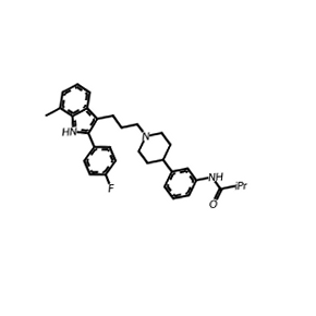 Cc1cccc2c(CCCN3CCC(c4cccc(NC(=O)C(C)C)c4)CC3)c(-c3ccc(F)cc3)[nH]c12